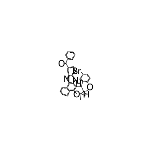 CC1(C)Oc2c(c3nc4ccc(C(=O)c5ccccc5)cc4nc3c3ccccc23)[C@@H]2c3cc(Br)ccc3OC[C@@H]21